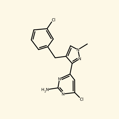 Cn1cc(Cc2cccc(Cl)c2)c(-c2cc(Cl)nc(N)n2)n1